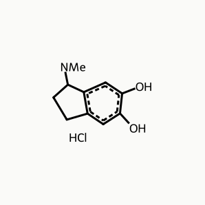 CNC1CCc2cc(O)c(O)cc21.Cl